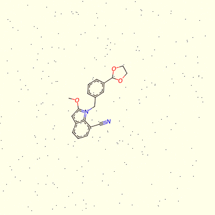 COc1cc2cccc(C#N)c2n1Cc1cccc(C2OCCO2)c1